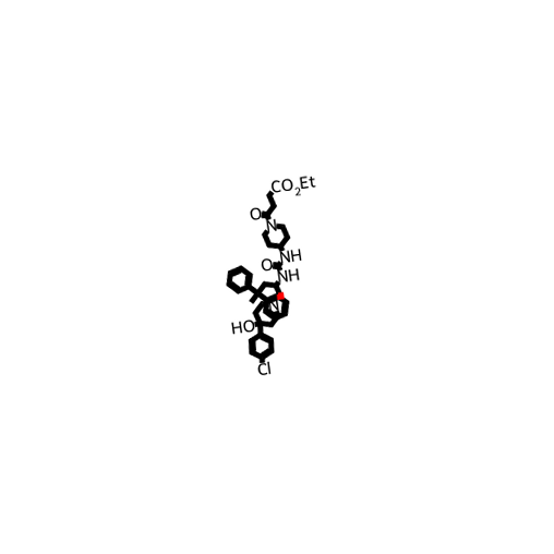 CCOC(=O)CCC(=O)N1CCC(NC(=O)NC(CN2CCC(O)(c3ccc(Cl)cc3)CC2)CC(C)(c2ccccc2)c2ccccc2)CC1